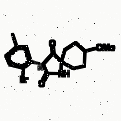 COC1CCC2(CC1)NC(=O)[C@H](c1cc(C)ccc1Br)C2=O